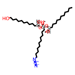 CCCCCCCCCCC[SiH](OC)O[Si](CCCCCCCCCCCN=[N+]=[N-])(OC)O[SiH](O)CCCCCCCCCCO